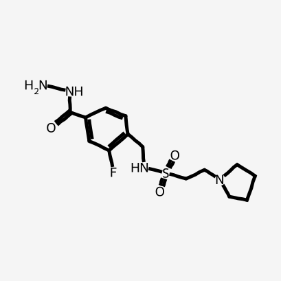 NNC(=O)c1ccc(CNS(=O)(=O)CCN2CCCC2)c(F)c1